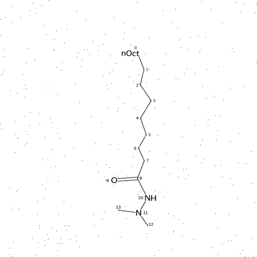 CCCCCCCCCCCCCCCC(=O)NN(C)C